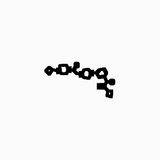 O=C(NC1CCC1)c1cccc(N2CCN(CC(=O)N3CCN(C4CCC4)CC3)CC2)c1